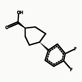 O=C(O)[C@H]1CC[C@H](c2ccc(F)c(F)c2)CC1